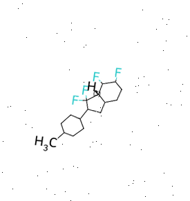 CC1CCC(C2CC3CCC(F)C(F)[C@H]3C2(F)F)CC1